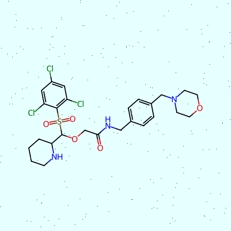 O=C(COC(C1CCCCN1)S(=O)(=O)c1c(Cl)cc(Cl)cc1Cl)NCc1ccc(CN2CCOCC2)cc1